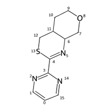 c1cnc(C2=NC3COCCC3CS2)nc1